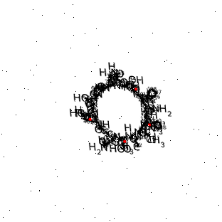 CCCC[C@H]1C(=O)N(C)[C@@H](CCCC)C(=O)N[C@@H](CCC(=O)O)C(=O)N[C@H](C(=O)NCC(N)=O)CSCC(=O)N[C@@H](Cc2ccc(O)cc2)C(=O)N(C)[C@@H](C)C(=O)N[C@@H](CC(=O)O)C(=O)N2CCC[C@H]2C(=O)N[C@@H](Cc2c[nH]cn2)C(=O)N[C@@H](CCC(N)=O)C(=O)N2C[C@H](O)C[C@H]2C(=O)N[C@@H](Cc2c[nH]c3ccccc23)C(=O)N[C@@H](CCN)C(=O)N[C@@H](Cc2c[nH]c3ccccc23)C(=O)N1C